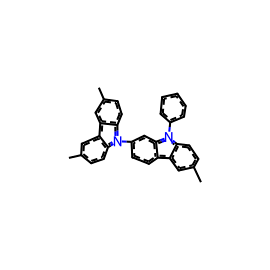 Cc1ccc2c(c1)c1cc(C)ccc1n2-c1ccc2c3cc(C)ccc3n(-c3ccccc3)c2c1